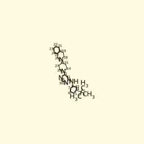 CC(C)(C)c1cccc(Nc2cc(N3CCC(N4CCc5ccccc5C4)CC3)ncn2)c1